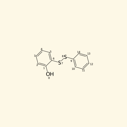 Oc1ccccc1SSc1ccccc1